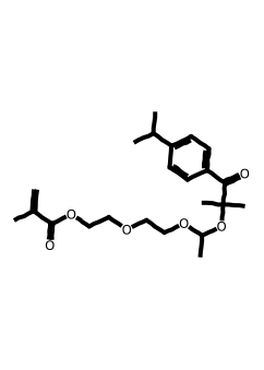 C=C(C)C(=O)OCCOCCOC(C)OC(C)(C)C(=O)c1ccc(C(C)C)cc1